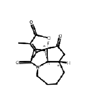 CC1=C(C)[C@@]2(OC1=O)C(=O)C[C@@H]1CCCCN3C(=O)CC[C@]132